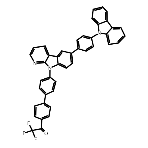 O=C(c1ccc(-c2ccc(-n3c4ccc(-c5ccc(-n6c7ccccc7c7ccccc76)cc5)cc4c4cccnc43)cc2)cc1)C(F)(F)F